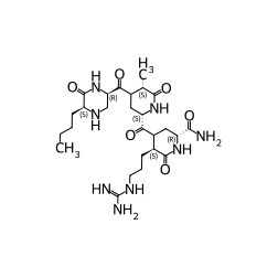 CCCC[C@@H]1NC[C@H](C(=O)C2C[C@@H](C(=O)C3C[C@H](C(N)=O)NC(=O)[C@H]3CCCNC(=N)N)NC(=O)[C@H]2C)NC1=O